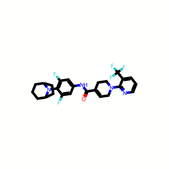 O=C(Nc1cc(F)c(N2C3CCCC2CC3)c(F)c1)C1=CCN(c2ncccc2C(F)(F)F)CC1